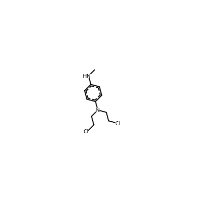 CNc1ccc(N(CCCl)CCCl)cc1